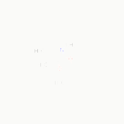 CC/C=C(\Cc1ccccc1)O/C(=N\C)C(=O)C(C)CC